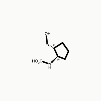 O=C(O)N[C@@H]1CCC[C@H]1CO